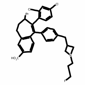 CC(C)C1CCc2cc(C(=O)O)ccc2C(c2ccc(CC3CN(CCCF)C3)cc2)=C1c1ccc(Cl)cc1Cl